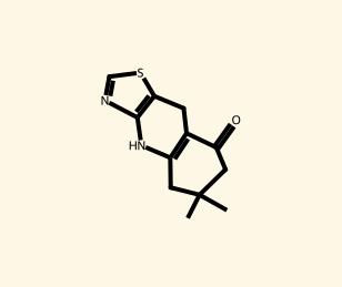 CC1(C)CC(=O)C2=C(C1)Nc1ncsc1C2